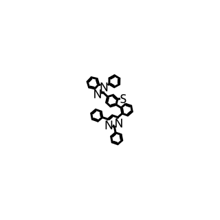 c1ccc(-c2cc(-c3cccc4sc5cc(-c6nc7ccccc7n6-c6ccccc6)ccc5c34)nc(-c3ccccc3)n2)cc1